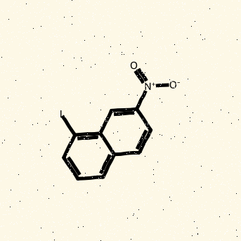 O=[N+]([O-])c1ccc2cccc(I)c2c1